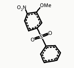 COc1cc(S(=O)(=O)c2ccccc2)ccc1[N+](=O)[O-]